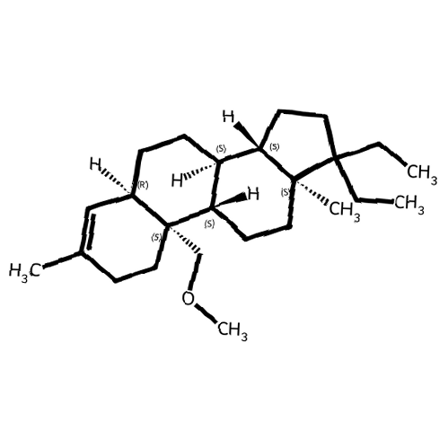 CCC1(CC)CC[C@H]2[C@@H]3CC[C@@H]4C=C(C)CC[C@]4(COC)[C@H]3CC[C@@]21C